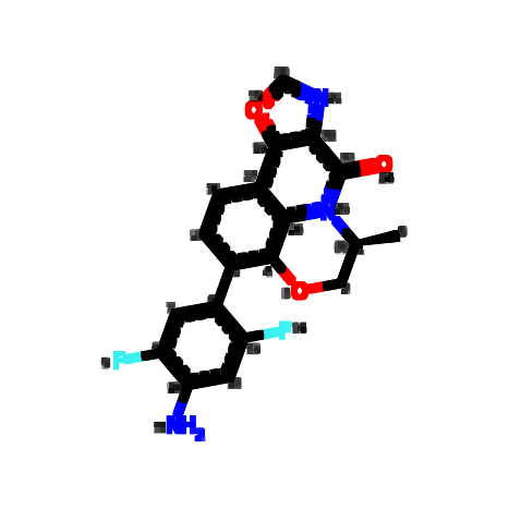 C[C@H]1COc2c(-c3cc(F)c(N)cc3F)ccc3c4ocnc4c(=O)n1c23